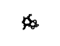 Cc1ccc(C)c2c1O[B]O2